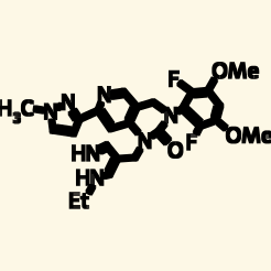 CCN/C=C(\C=N)CN1C(=O)N(c2c(F)c(OC)cc(OC)c2F)Cc2cnc(-c3ccn(C)n3)cc21